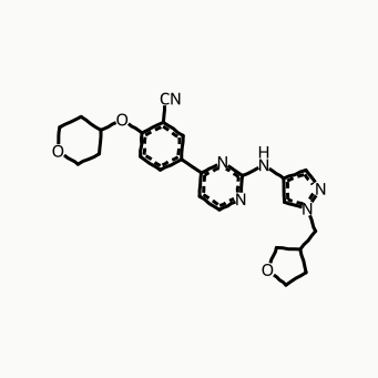 N#Cc1cc(-c2ccnc(Nc3cnn(CC4CCOC4)c3)n2)ccc1OC1CCOCC1